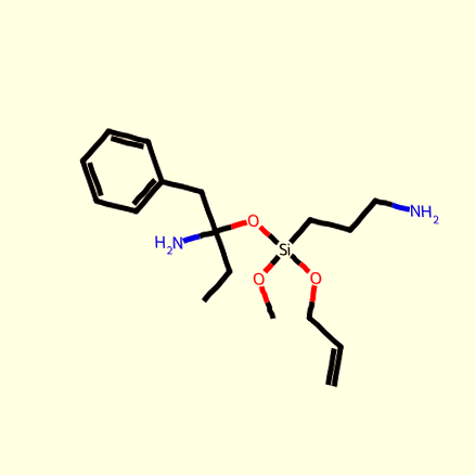 C=CCO[Si](CCCN)(OC)OC(N)(CC)Cc1ccccc1